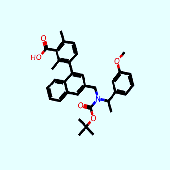 COc1cccc(C(C)N(Cc2cc(-c3ccc(C)c(C(=O)O)c3C)c3ccccc3c2)C(=O)OC(C)(C)C)c1